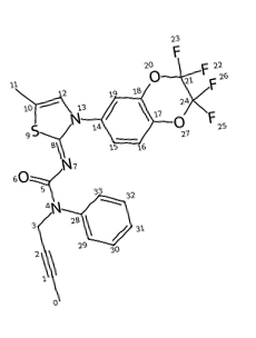 CC#CCN(C(=O)N=c1sc(C)cn1-c1ccc2c(c1)OC(F)(F)C(F)(F)O2)c1ccccc1